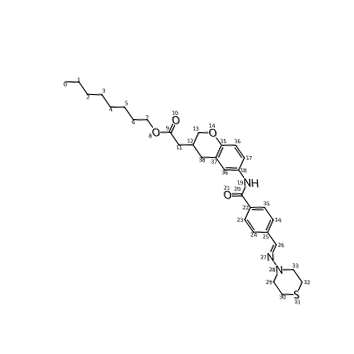 CCCCCCCCOC(=O)CC1COc2ccc(NC(=O)c3ccc(C=NN4CCSCC4)cc3)cc2C1